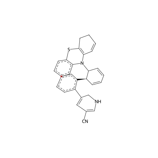 N#CC1=CNCC(c2ccccc2[C@@H]2C=CC=CC2N2C3=C(CCC=C3)Sc3ccccc32)=C1